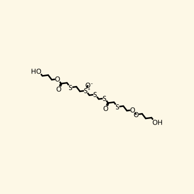 O=C(CSCC[S+]([O-])CSCSC(=O)CSCCOOCCCO)OCCCO